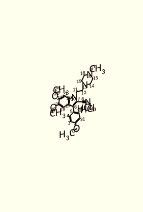 COc1ccc(-c2c(C#N)n(CCN3CCN(C)CC3)c3cc(OC)c(OC)cc23)cc1.Cl.Cl